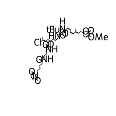 COC1=CC[C@@H]([C@@H](C)/C=C(C)/C=C\C=C/C(=O)N[C@H](C(=O)N/C=C\C[C@H](C/C=C(\C)Cl)OC(=O)NCCCNC(=O)CCCCCN2C(=O)C=CC2=O)C(C)(C)C)OC1=O